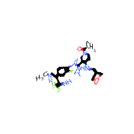 CN/C=C(\C(=N)C(F)(F)F)c1ccc(NC(=N)C2=C(NCC3COC3)CCN(C(C)=O)C2)c(F)c1